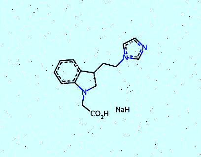 O=C(O)CN1CC(CCn2ccnc2)c2ccccc21.[NaH]